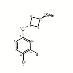 CS[C@H]1C[C@H](Oc2ccc(Br)c(C)n2)C1